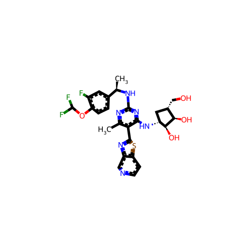 Cc1nc(N[C@H](C)c2ccc(OC(F)F)c(F)c2)nc(N[C@@H]2C[C@H](CO)[C@@H](O)[C@H]2O)c1-c1nc2cnccc2s1